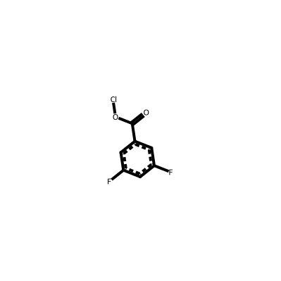 O=C(OCl)c1cc(F)cc(F)c1